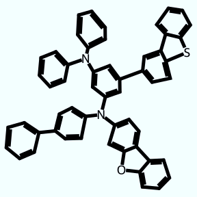 c1ccc(-c2ccc(N(c3cc(-c4ccc5sc6ccccc6c5c4)cc(N(c4ccccc4)c4ccccc4)c3)c3ccc4c(c3)oc3ccccc34)cc2)cc1